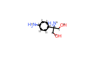 Nc1ccc(C(N)(CO)CO)cc1